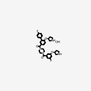 Cl.O=C(c1cc(F)cc(O[C@H]2CCNC2)c1)N1CCN(C(=O)c2ccc(O[C@H]3CCNC3)c(-c3ccc(F)cc3)c2)CC1